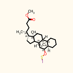 COC(=O)CC[C@@H](C)[C@H]1CCC2[C@@H]3C[C@H](OSI)[C@@H]4CCCC[C@]4(C)[C@H]3CC[C@@]21C